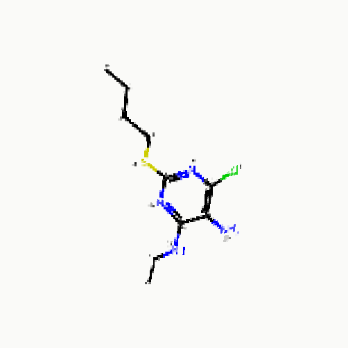 CCCCSc1nc(Cl)c(N)c(NCC)n1